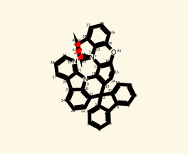 c1ccc2c(c1)-c1ccccc1C21c2ccc3c4c2-n2c5c1cccc5c1ccc[n+](c12)[N+]41c2c(cccc2-c2cccc[n+]21)O3